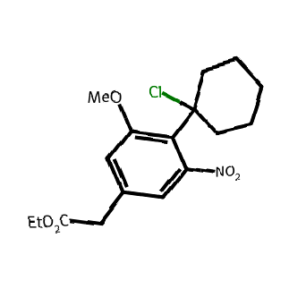 CCOC(=O)Cc1cc(OC)c(C2(Cl)CCCCC2)c([N+](=O)[O-])c1